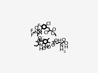 CCC(CC)Nc1c([N+](=O)[O-])cc(C)c(C)c1[N+](=O)[O-].CCOC(=O)C(Cl)Cc1cc(-n2nc(C)n(C(F)F)c2=O)c(F)cc1Cl.CP(=O)(O)CCC(N)C(=O)O